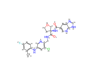 O=C(N[C@@]1(C(=O)NCc2ncc(Nc3ccc(F)cc3C(F)(F)F)cc2Cl)CCOC1)c1cnc2[nH]cnc2c1